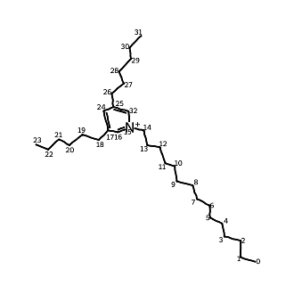 CCCCCCCCCCCCCCC[n+]1cc(CCCCCC)cc(CCCCCC)c1